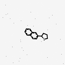 c1ccc2cc(C3CCCS3)ccc2c1